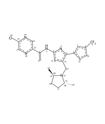 C=C(Nc1nc(-c2cc(C(F)(F)F)cs2)c(CN2[C@H](C)CC[C@H]2C)s1)c1cnc(Cl)cn1